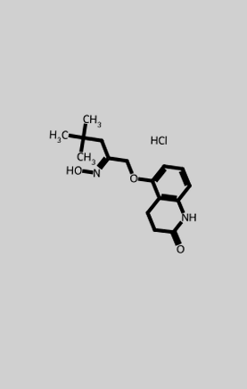 CC(C)(C)CC(COc1cccc2c1CCC(=O)N2)=NO.Cl